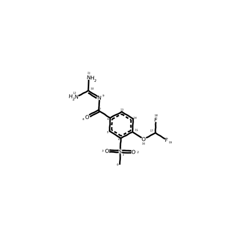 CS(=O)(=O)c1cc(C(=O)N=C(N)N)ccc1OC(F)F